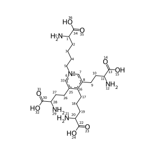 NC(CCCC[n+]1cc(CCC(N)C(=O)O)c(CCCC(N)C(=O)O)c(CCC(N)C(=O)O)c1)C(=O)O